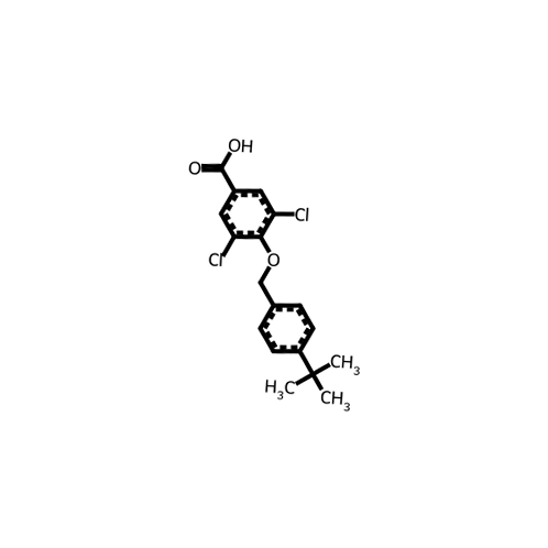 CC(C)(C)c1ccc(COc2c(Cl)cc(C(=O)O)cc2Cl)cc1